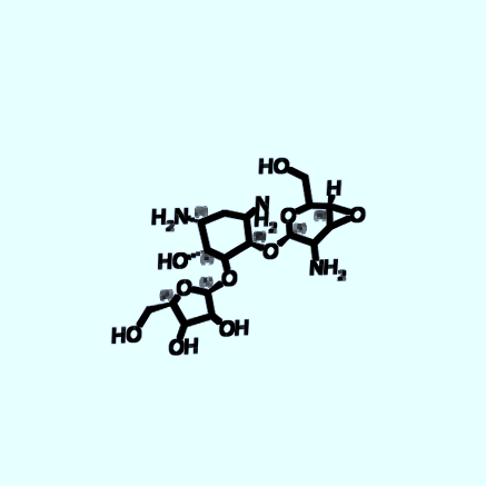 NC1C2O[C@H]2C(CO)O[C@@H]1O[C@@H]1C(N)C[C@@H](N)[C@@H](O)C1O[C@@H]1O[C@H](CO)C(O)C1O